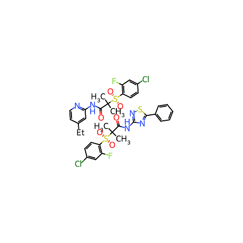 CC(C)(C(=O)Nc1nsc(-c2ccccc2)n1)S(=O)(=O)c1ccc(Cl)cc1F.CCc1ccnc(NC(=O)C(C)(C)S(=O)(=O)c2ccc(Cl)cc2F)c1